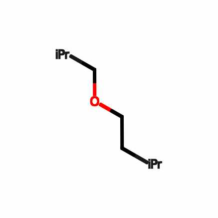 CC(C)CCOCC(C)C